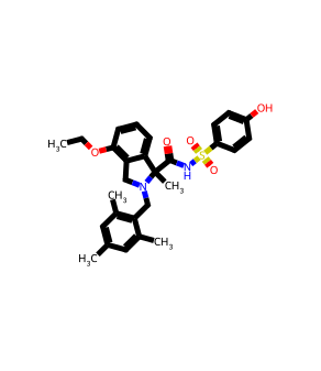 CCOc1cccc2c1CN(Cc1c(C)cc(C)cc1C)C2(C)C(=O)NS(=O)(=O)c1ccc(O)cc1